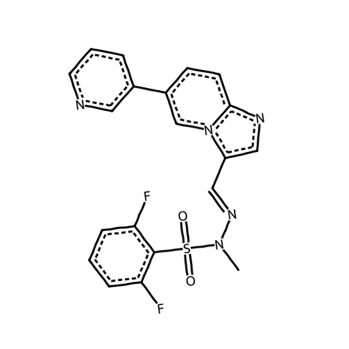 CN(N=Cc1cnc2ccc(-c3cccnc3)cn12)S(=O)(=O)c1c(F)cccc1F